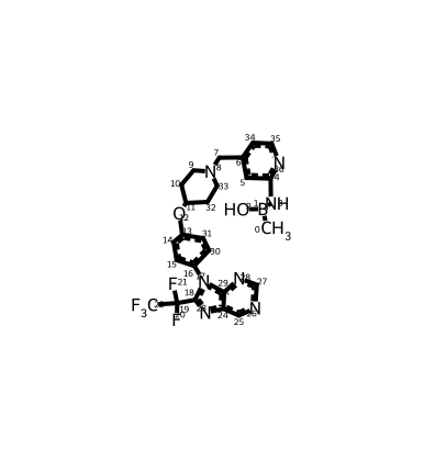 CB(O)Nc1cc(CN2CCC(Oc3ccc(-n4c(C(F)(F)C(F)(F)F)nc5cncnc54)cc3)CC2)ccn1